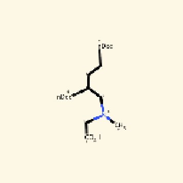 CCCCCCCCCCCCC(CCCCCCCCCC)CN(C)CC(=O)O